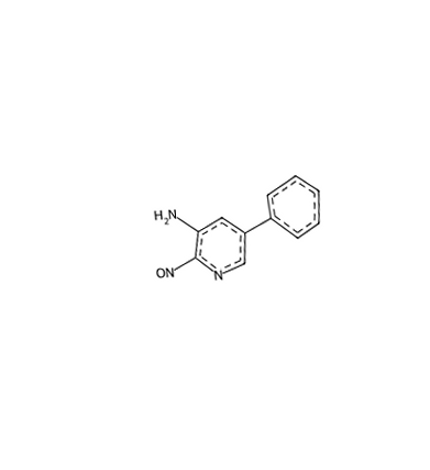 Nc1cc(-c2ccccc2)cnc1N=O